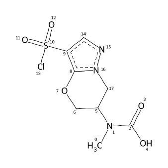 CN(C(=O)O)C1COc2c(S(=O)(=O)Cl)cnn2C1